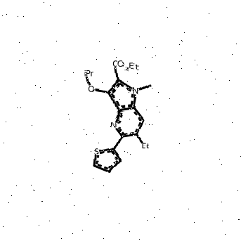 CCOC(=O)c1c(OC(C)C)c2nc(-c3cccs3)c(CC)cc2n1C